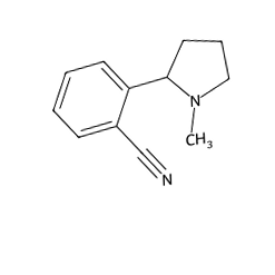 CN1CCCC1c1ccccc1C#N